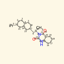 CC(C)c1ccc2ccc(CC(C)n3c(=O)[nH]c4ccccc4c3=O)cc2c1